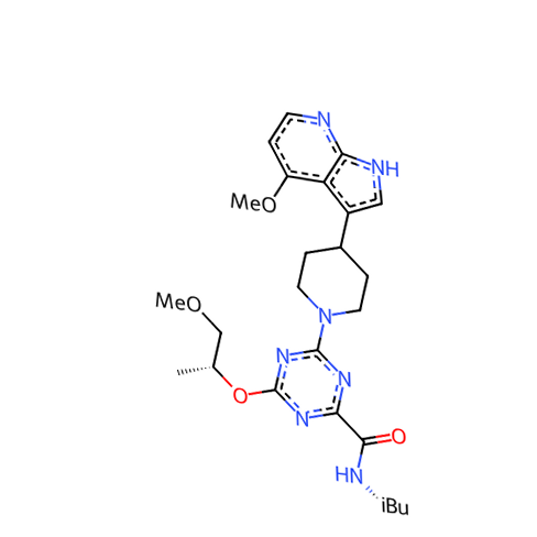 CC[C@@H](C)NC(=O)c1nc(O[C@H](C)COC)nc(N2CCC(c3c[nH]c4nccc(OC)c34)CC2)n1